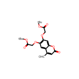 CC(C)(C)OC(=O)COc1cc2oc(=O)cc(C=O)c2cc1OCC(=O)OC(C)(C)C